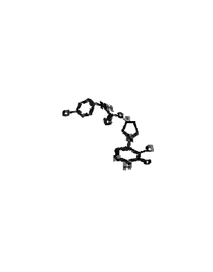 O=C(Nc1ccc(Cl)cc1)O[C@@H]1CCN(c2cn[nH]c(=O)c2Cl)C1